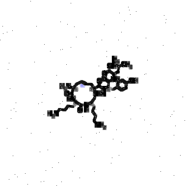 CC(C)C[C@@H](NC(=O)[C@H](Cc1ccc(O)cc1)NC(=O)[C@@H]1C/C=C/C[C@H](N)C(=O)N[C@@H](CCCCN)C(=O)N[C@@H](CCCCN)CN1)C(=O)O